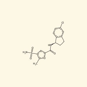 Cc1oc(C(=O)N[C@@H]2CCc3cc(Cl)ccc32)cc1S(N)(=O)=O